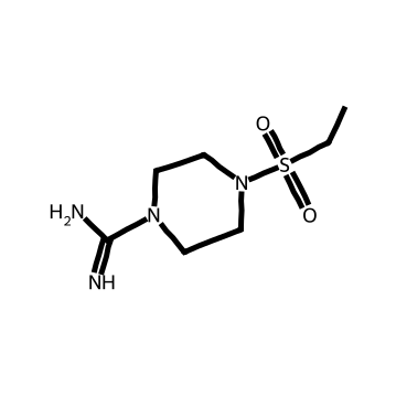 CCS(=O)(=O)N1CCN(C(=N)N)CC1